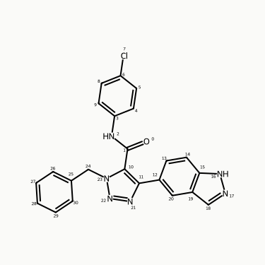 O=C(Nc1ccc(Cl)cc1)c1c(-c2ccc3[nH]ncc3c2)nnn1Cc1ccccc1